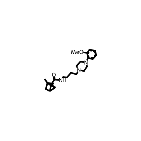 COc1ccccc1N1CCN(CCCCNC(=O)C2CC3CC2(C)C3(C)C)CC1